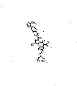 COC(COc1cc(C(C(=O)N2C[C@H](O)C[C@H]2C(=O)NCc2ccc(-c3scnc3C)cc2)C(C)C)on1)OC